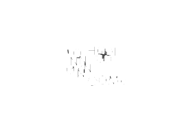 C#CCn1c(=O)c2c(nc(-c3cccc(OC)c3)n2C)n(CCCOP(=O)(O)O)c1=O